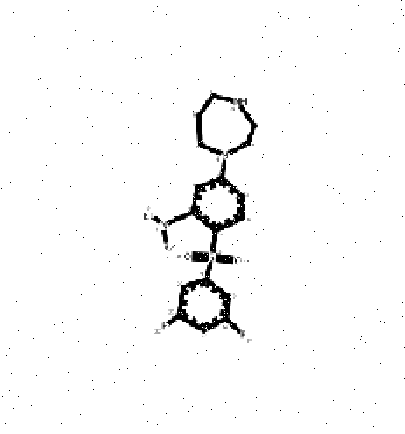 CCN(C(C)=O)c1cc(N2CCCNCC2)ccc1S(=O)(=O)c1cc(F)cc(F)c1